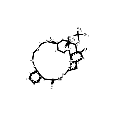 Cc1nc2cc3nn2c(c1[C@H](OC(C)(C)C)C(=O)O)N1CCC(C)(CC1)OCCCCOc1ccccc1CC(=O)NC3